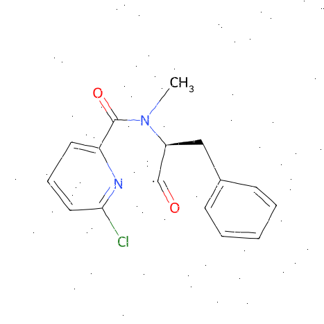 CN(C(=O)c1cccc(Cl)n1)[C@H]([C]=O)Cc1ccccc1